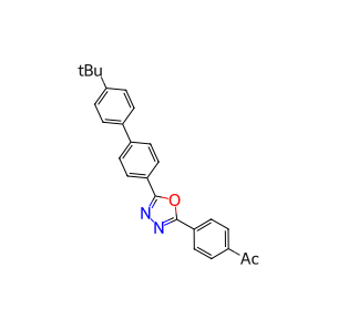 CC(=O)c1ccc(-c2nnc(-c3ccc(-c4ccc(C(C)(C)C)cc4)cc3)o2)cc1